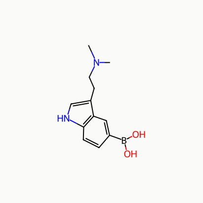 CN(C)CCc1c[nH]c2ccc(B(O)O)cc12